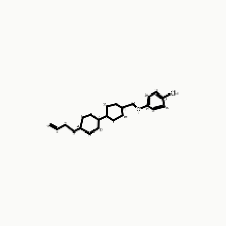 C=CCCC1CCC(C2CCC(COc3ccc(Cl)cc3)CC2)CC1